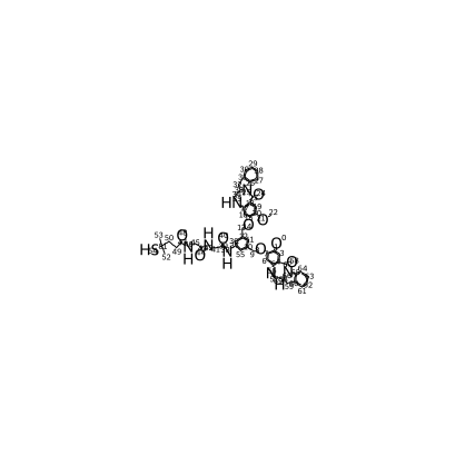 COc1cc2c(cc1OCc1cc(COc3cc4c(cc3OC)C(=O)N3c5ccccc5CC3CN4)cc(NC(=O)CNC(=O)CNC(=O)CCC(C)(C)S)c1)N=C[C@@H]1Cc3ccccc3N1C2=O